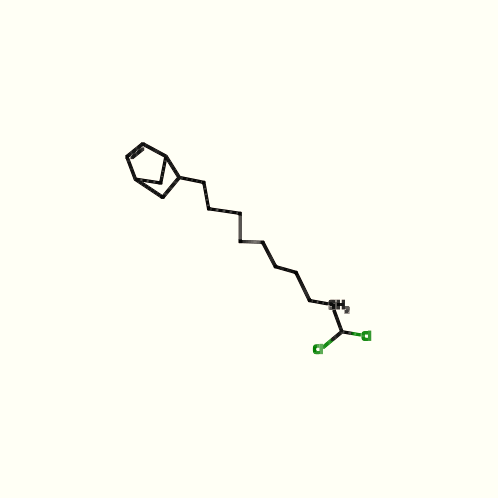 ClC(Cl)[SiH2]CCCCCCCCC1CC2C=CC1C2